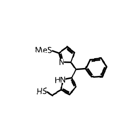 CSC1=NC(C(c2ccccc2)c2ccc(CS)[nH]2)C=C1